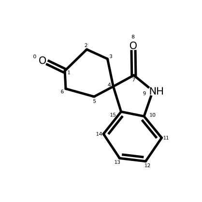 O=C1CCC2(CC1)C(=O)Nc1ccccc12